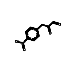 O=CC(=O)Cc1ccc([N+](=O)[O-])cc1